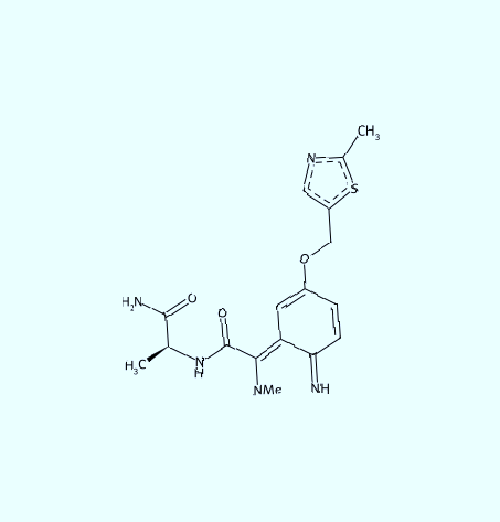 CN/C(C(=O)N[C@@H](C)C(N)=O)=C1/C=C(OCc2cnc(C)s2)C=CC1=N